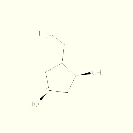 CCC1C[C@H](O)C[C@@H]1C